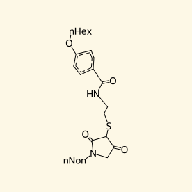 CCCCCCCCCN1CC(=O)C(SCCNC(=O)c2ccc(OCCCCCC)cc2)C1=O